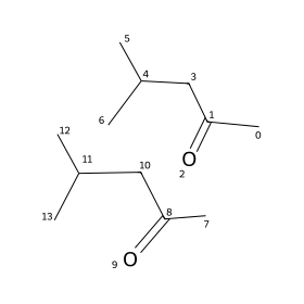 CC(=O)CC(C)C.CC(=O)CC(C)C